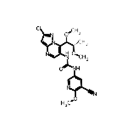 COc1ncc(NC(=O)Nc2cnc3cc(Cl)nn3c2[C@@H](OC)[C@H](C)OC)cc1C#N